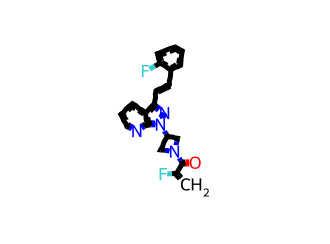 C=C(F)C(=O)N1CC(n2nc(C=Cc3ccccc3F)c3cccnc32)C1